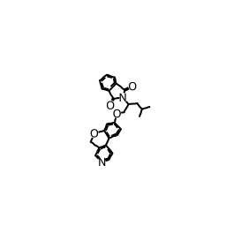 CC(C)CC(COc1ccc2c(c1)OCc1cnccc1-2)N1C(=O)c2ccccc2C1=O